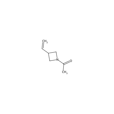 C=CC1CN(C(C)=O)C1